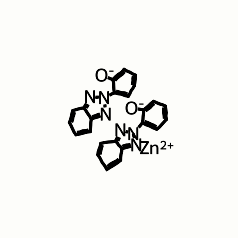 [O-]c1ccccc1-n1nc2ccccc2n1.[O-]c1ccccc1-n1nc2ccccc2n1.[Zn+2]